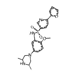 COc1ccc(N2CC(C)NC(C)C2)cc1NS(=O)(=O)c1ccc(-c2ccco2)nc1